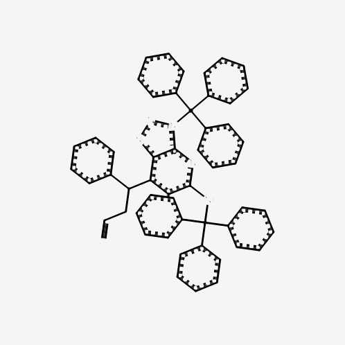 O=CCC(c1ccccc1)c1cc(NC(c2ccccc2)(c2ccccc2)c2ccccc2)nc2c1nnn2C(c1ccccc1)(c1ccccc1)c1ccccc1